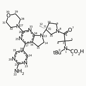 CC(C)(C)N(C(=O)O)C(C)(C)C(=O)N1CC[C@](C)(N2CCc3c(-c4cnc(N)nc4)nc(N4CCOCC4)nc32)C1